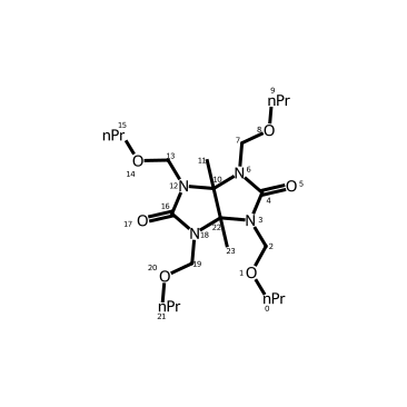 CCCOCN1C(=O)N(COCCC)C2(C)N(COCCC)C(=O)N(COCCC)C12C